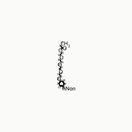 C=CC(=O)OCCOCCOCCOCCOc1ccc(CCCCCCCCC)cc1